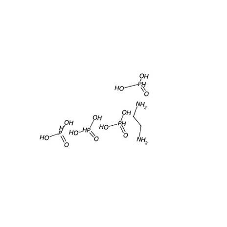 NCCN.O=[PH](O)O.O=[PH](O)O.O=[PH](O)O.O=[PH](O)O